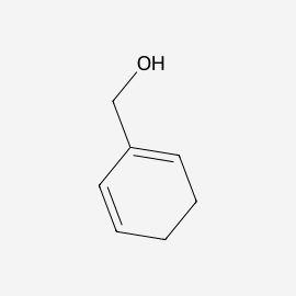 OCC1=CCCC=C1